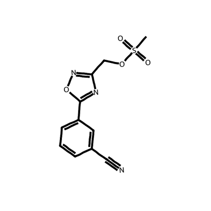 CS(=O)(=O)OCc1noc(-c2cccc(C#N)c2)n1